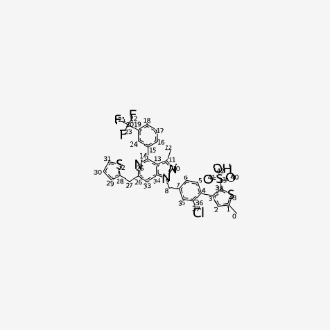 Cc1cc(-c2ccc(Cn3nc(C)c4c(-c5cccc(C(F)(F)F)c5)nc(Cc5cccs5)cc43)cc2Cl)c(S(=O)(=O)O)s1